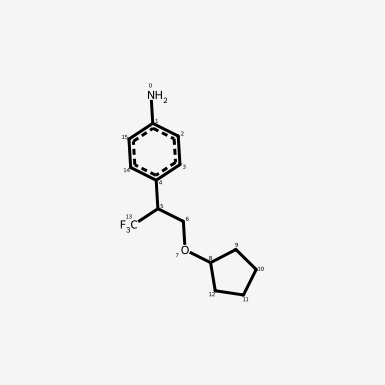 Nc1ccc(C(COC2CCCC2)C(F)(F)F)cc1